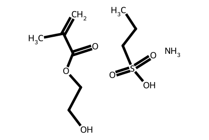 C=C(C)C(=O)OCCO.CCCS(=O)(=O)O.N